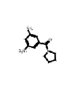 Nc1cc(C(=O)N2CCCC2)cc([N+](=O)[O-])c1